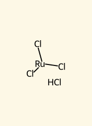 Cl.[Cl][Ru]([Cl])[Cl]